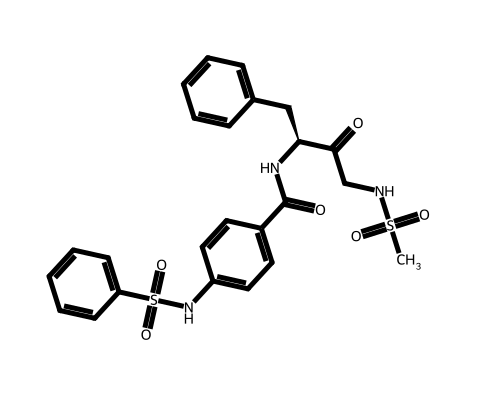 CS(=O)(=O)NCC(=O)[C@H](Cc1ccccc1)NC(=O)c1ccc(NS(=O)(=O)c2ccccc2)cc1